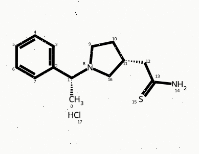 C[C@H](c1ccccc1)N1CC[C@H](CC(N)=S)C1.Cl